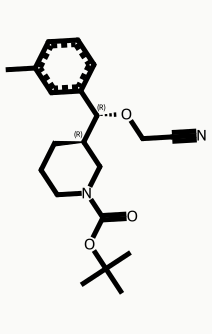 Cc1cccc([C@H](OCC#N)[C@@H]2CCCN(C(=O)OC(C)(C)C)C2)c1